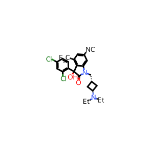 [C-]#[N+]c1cc2c(c(C(F)(F)F)c1)C(O)(c1ccc(Cl)cc1Cl)C(=O)N2C[C@H]1C[C@H](N(CC)CC)C1